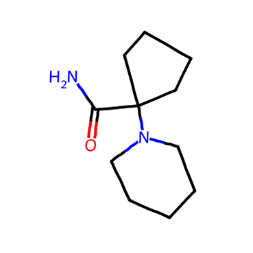 NC(=O)C1(N2CCCCC2)CCCC1